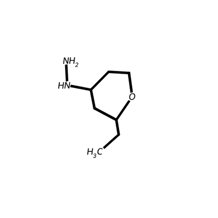 CCC1CC(NN)CCO1